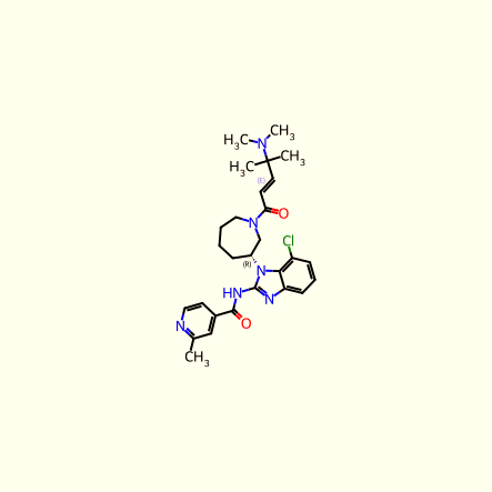 Cc1cc(C(=O)Nc2nc3cccc(Cl)c3n2[C@@H]2CCCCN(C(=O)/C=C/C(C)(C)N(C)C)C2)ccn1